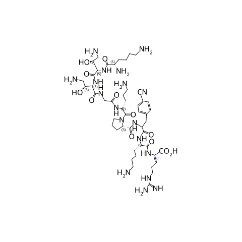 N#Cc1ccc(CC(NC(=O)[C@@H]2CCCN2C(=O)[C@@H](CCCN)NC(=O)CNC(=O)[C@@H](NC(=O)[C@@H](NC(=O)[C@@H](N)CCCCN)[C@@H](O)CN)[C@@H](O)CN)C(=O)N[C@@H](CCCCN)C(=O)N/C(=C\CCNC(=N)N)C(=O)O)cc1